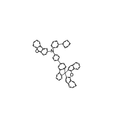 c1ccc(-c2cccc(N(c3ccc(-c4ccc5c(c4)-c4ccccc4C54c5ccc6ccccc6c5Oc5c4ccc4ccccc54)cc3)c3ccc4oc5ccccc5c4c3)c2)cc1